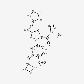 CC(C)(C)[C@@H](N)C(=O)N1C[C@@]2(CC1C(=O)NC(CC1CCC1)C(=O)C=O)CC2C1CCCC1